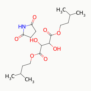 CC(C)CCOC(=O)C(O)C(O)C(=O)OCCC(C)C.O=C1CCC(=O)N1